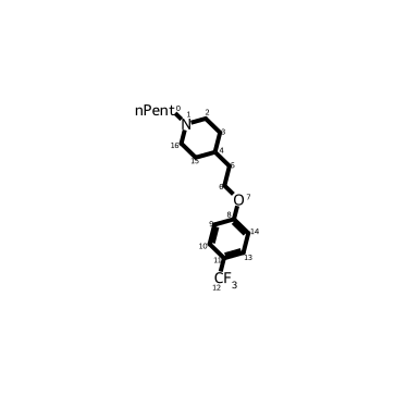 CCCCCN1CCC(CCOc2ccc(C(F)(F)F)cc2)CC1